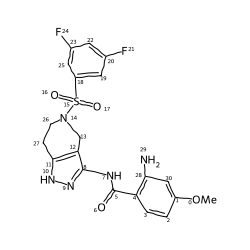 COc1ccc(C(=O)Nc2n[nH]c3c2CN(S(=O)(=O)c2cc(F)cc(F)c2)CC3)c(N)c1